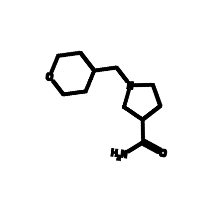 NC(=O)C1CCN(CC2CCOCC2)C1